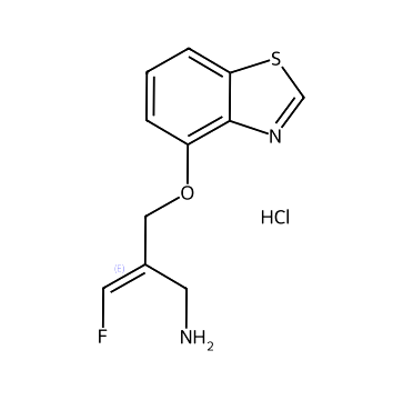 Cl.NC/C(=C\F)COc1cccc2scnc12